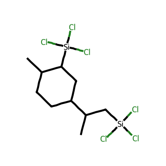 CC(C[Si](Cl)(Cl)Cl)C1CCC(C)C([Si](Cl)(Cl)Cl)C1